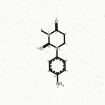 CN1C(=O)CCN(c2ccc([N+](=O)[O-])cc2)C1=O